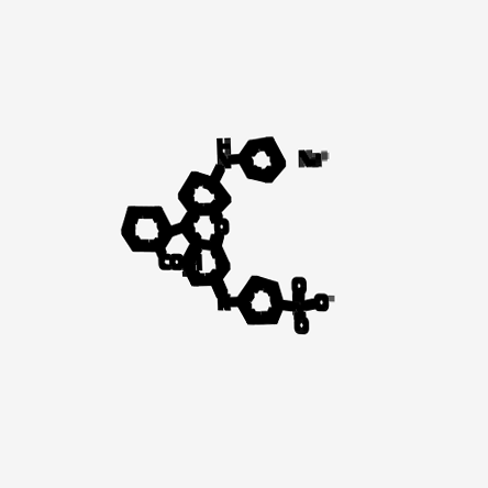 O=C(O)c1ccccc1-c1c2cc/c(=N/c3ccc(S(=O)(=O)[O-])cc3)cc-2oc2cc(Nc3ccccc3)ccc12.[Na+]